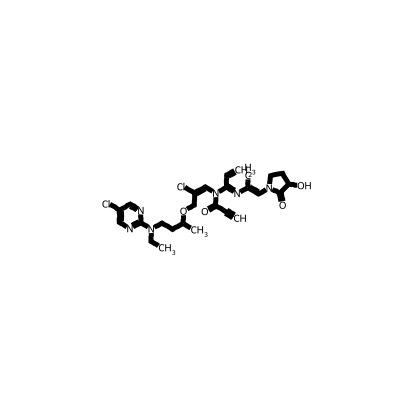 C#CC(=O)N(/C=C(/Cl)COC(C)CCN(CC)c1ncc(Cl)cn1)/C(C=C)=N/C(C)=C/N1CCC(O)C1=O